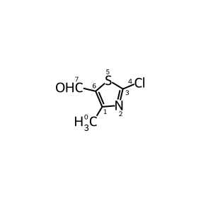 Cc1nc(Cl)sc1C=O